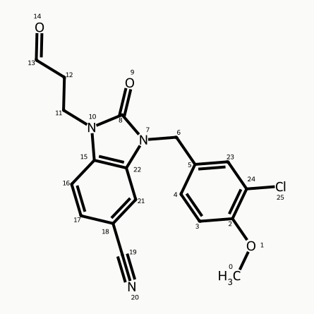 COc1ccc(Cn2c(=O)n(CCC=O)c3ccc(C#N)cc32)cc1Cl